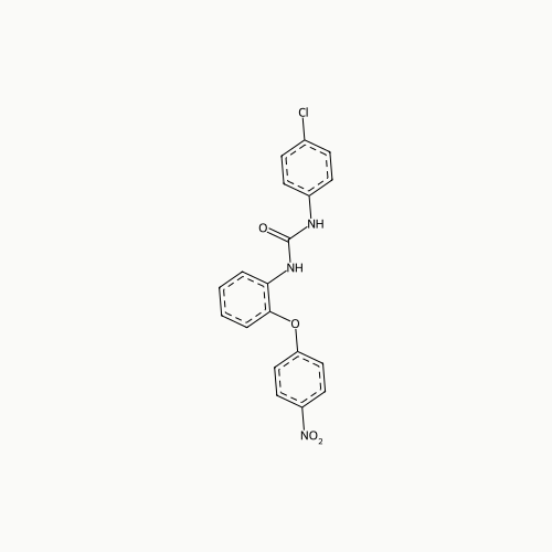 O=C(Nc1ccc(Cl)cc1)Nc1ccccc1Oc1ccc([N+](=O)[O-])cc1